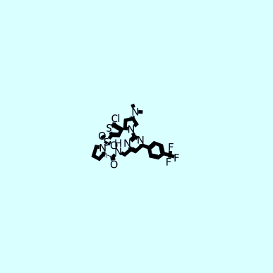 CN(C)[C@H]1CCN(c2nc(CNC(=O)[C@@H]3CCCN3S(=O)(=O)c3ccc(Cl)s3)cc(-c3ccc(C(F)(F)F)cc3)n2)C1